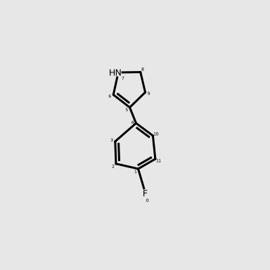 Fc1ccc(C2=CNCC2)cc1